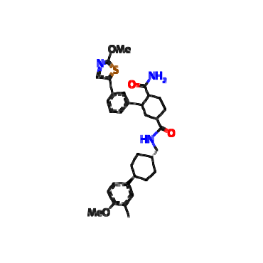 COc1ncc(-c2cccc(C3CC(C(=O)NC[C@H]4CC[C@H](c5ccc(OC)c(C)c5)CC4)CCC3C(N)=O)c2)s1